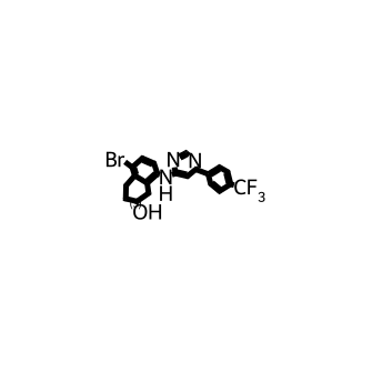 O[C@H]1CCc2c(Br)ccc(Nc3cc(-c4ccc(C(F)(F)F)cc4)ncn3)c2C1